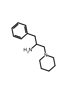 NC(Cc1ccccc1)CN1CCCCC1